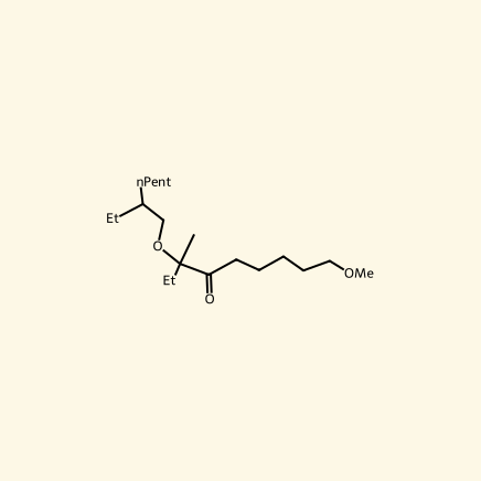 CCCCCC(CC)COC(C)(CC)C(=O)CCCCCOC